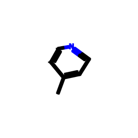 Cc1[c][c]ncc1